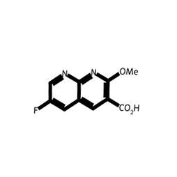 COc1nc2ncc(F)cc2cc1C(=O)O